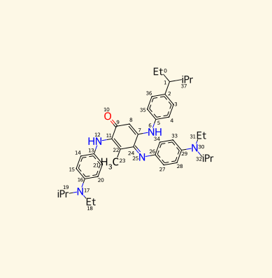 CCC(c1ccc(NC2=CC(=O)C(Nc3ccc(N(CC)C(C)C)cc3)=C(C)/C2=N/c2ccc(N(CC)C(C)C)cc2)cc1)C(C)C